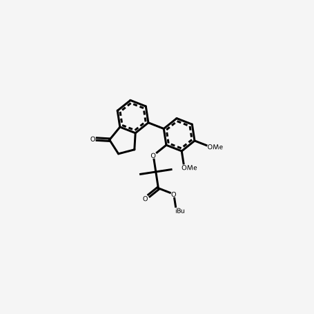 CCC(C)OC(=O)C(C)(C)Oc1c(-c2cccc3c2CCC3=O)ccc(OC)c1OC